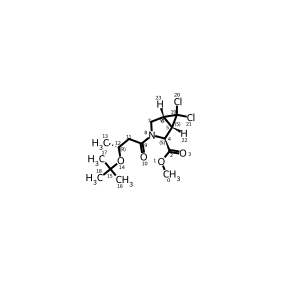 COC(=O)[C@@H]1[C@@H]2[C@H](CN1C(=O)C[C@@H](C)OC(C)(C)C)C2(Cl)Cl